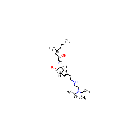 CCCC[C@H](C)C[C@H](O)/C=C/[C@@H]1[C@H]2CC(CCNCCN(C(C)C)C(C)C)=C[C@H]2C[C@H]1O